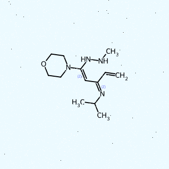 C=CC(/C=C(\NNC)N1CCOCC1)=N/C(C)C